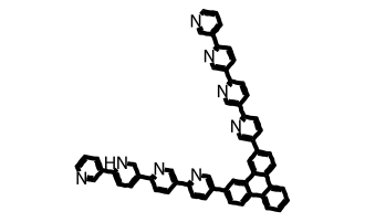 C1=C(c2cccnc2)NCC(c2ccc(-c3ccc(-c4ccc5c6ccccc6c6ccc(-c7ccc(-c8ccc(-c9ccc(-c%10cccnc%10)nc9)nc8)nc7)cc6c5c4)cn3)cn2)=C1